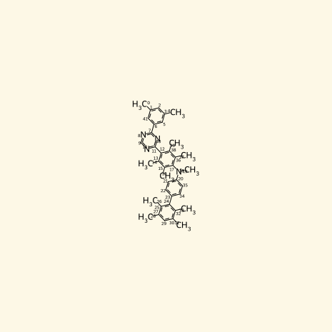 Cc1cc(C)cc(-c2ncnc(-c3c(C)c(C)c(N(C)c4ccc(-c5c(C)c(C)cc(C)c5C)cc4)c(C)c3C)n2)c1